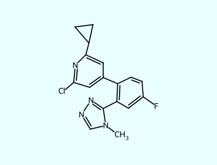 Cn1cnnc1-c1cc(F)ccc1-c1cc(Cl)nc(C2CC2)c1